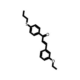 CCCSc1ccc(C(=O)C=Cc2cccc(OCC)c2)cc1